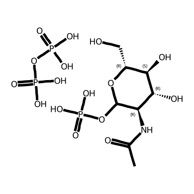 CC(=O)N[C@H]1C(OP(=O)(O)O)O[C@H](CO)[C@@H](O)[C@@H]1O.O=P(O)(O)OP(=O)(O)O